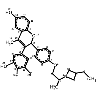 CCC1CN([C@@H](C)COc2ccc(C3Oc4ccc(O)cc4C(C)=C3c3cc(O)c(F)c(F)c3)cc2)C1